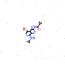 O=C(Nc1cc2c(Br)cnc(NC3CC3)c2cn1)C1CC1